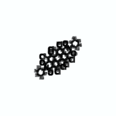 O=C1c2c(Cl)c(Cl)c3c4c(Cl)c(Cl)c5c6c(c(Cl)c(Cl)c(c7c(Cl)c(Cl)c(c2c37)C(=O)N1C1CCCCC1)c64)C(=O)N(C1CCCCC1)C5=O